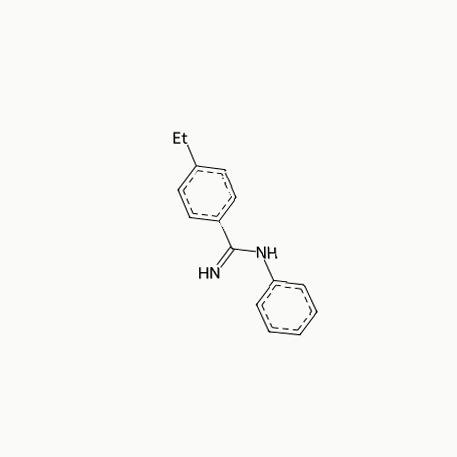 CCc1ccc(C(=N)Nc2ccccc2)cc1